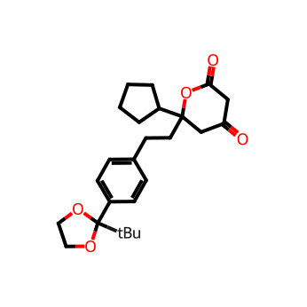 CC(C)(C)C1(c2ccc(CCC3(C4CCCC4)CC(=O)CC(=O)O3)cc2)OCCO1